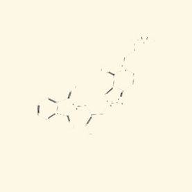 COCCN1CCc2nn(CC(=CF)CN3C(=O)c4ccccc4C3=O)cc2C1=O